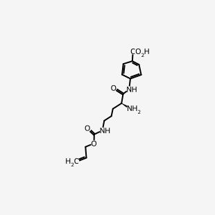 C=CCOC(=O)NCCC[C@H](N)C(=O)Nc1ccc(C(=O)O)cc1